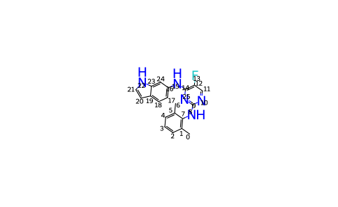 Cc1cccc(C)c1Nc1ncc(F)c(Nc2ccc3cc[nH]c3c2)n1